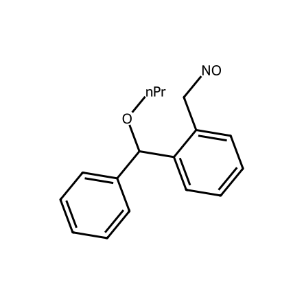 CCCOC(c1ccccc1)c1ccccc1CN=O